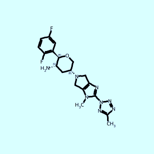 Cc1nnn(-c2nc3c(n2C)CN([C@H]2CO[C@H](c4cc(F)ccc4F)[C@@H](N)C2)C3)n1